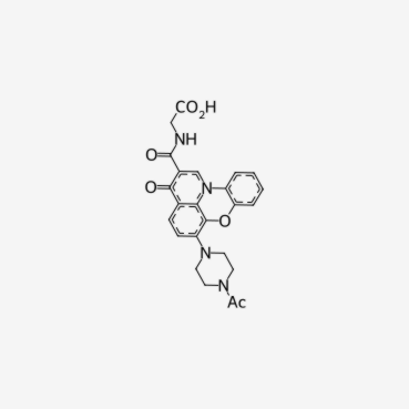 CC(=O)N1CCN(c2ccc3c(=O)c(C(=O)NCC(=O)O)cn4c3c2Oc2ccccc2-4)CC1